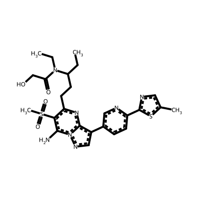 CCC(CCc1nc2c(-c3ccc(-c4ncc(C)s4)nc3)cnn2c(N)c1S(C)(=O)=O)N(CC)C(=O)CO